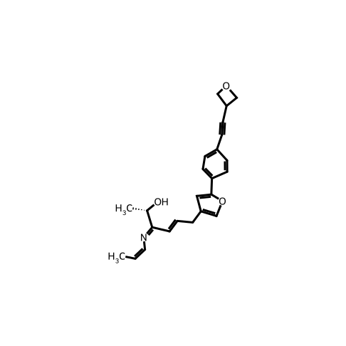 C\C=C/N=C(\C=C\Cc1coc(-c2ccc(C#CC3COC3)cc2)c1)[C@H](C)O